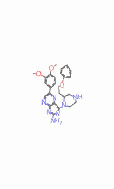 COc1ccc(-c2cnc3nc(N)nc(N4CCNCC4CCOc4ccccc4)c3n2)cc1OC